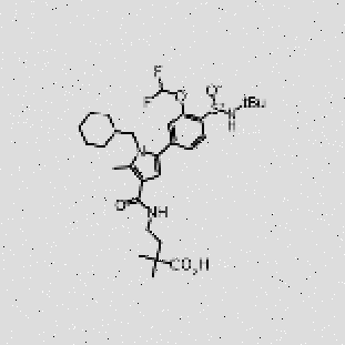 Cc1c(C(=O)NCCC(C)(C)C(=O)O)cc(-c2ccc([S+]([O-])NC(C)(C)C)c(OC(F)F)c2)n1CC1CCCCC1